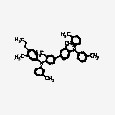 CCCc1ccc(N(c2cccc(C)c2)c2ccc(-c3ccc(N(c4cccc(C)c4)c4cccc(C)c4)c(C)c3)cc2C)cc1C